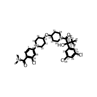 CN(C)C(=O)c1ccc(N2CCC(OC3CCN(C(=O)C(O)(c4cc(Cl)cc(Cl)c4)C(F)(F)F)CC3)CC2)cc1Cl